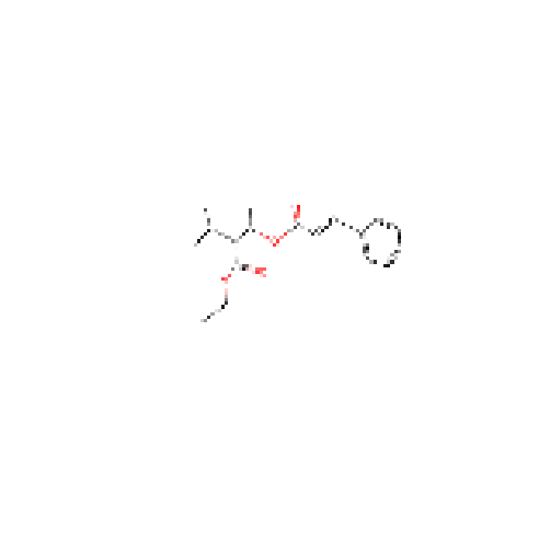 CCOC(=O)C(C(C)C)C(C)OC(=O)C=Cc1ccccc1